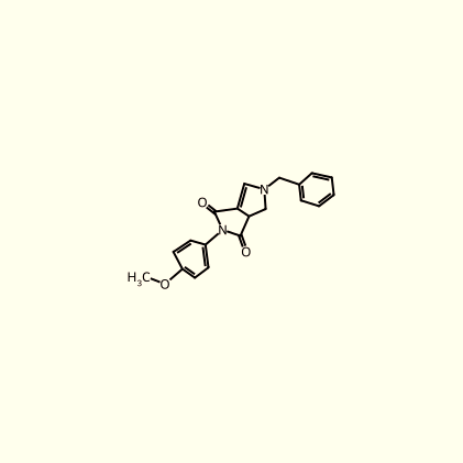 COc1ccc(N2C(=O)C3=CN(Cc4ccccc4)CC3C2=O)cc1